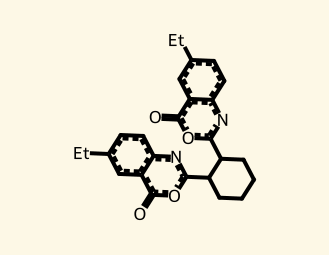 CCc1ccc2nc(C3CCCCC3c3nc4ccc(CC)cc4c(=O)o3)oc(=O)c2c1